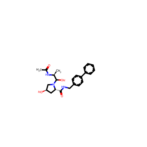 CC(=O)N[C@@H](C)C(O)N1C[C@H](O)C[C@H]1C(=O)NCc1ccc(-c2ccccc2)cc1